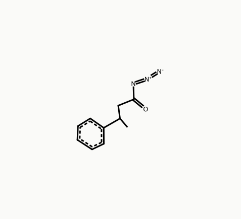 CC(CC(=O)N=[N+]=[N-])c1ccccc1